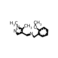 COc1ccccc1CN=Cc1cnn(C)c1C